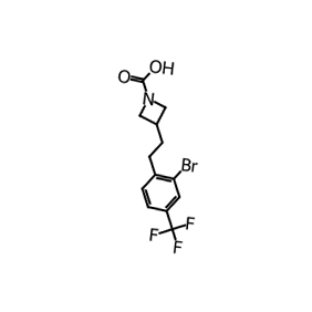 O=C(O)N1CC(CCc2ccc(C(F)(F)F)cc2Br)C1